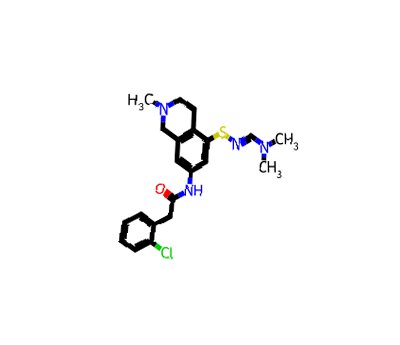 CN(C)/C=N/Sc1cc(NC(=O)Cc2ccccc2Cl)cc2c1CCN(C)C2